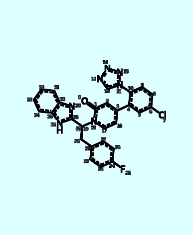 O=c1cc(-c2cc(Cl)ccc2-n2cnnn2)ccn1[C@@H](Cc1ccc(F)cc1)c1nc2ccccc2[nH]1